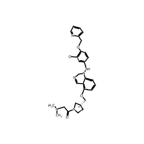 CN(C)CC(=O)N1CC[C@@H](COc2cccc3c2C=NCN3Nc2ccc(OCc3ccccn3)c(Cl)c2)C1